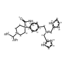 CCCC(CCC)N1CC[N+](C(N)=O)(c2ccc(CN(Cc3ncc[nH]3)Cc3ncc[nH]3)cc2)CC1